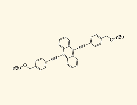 CCCCOCc1ccc(C#Cc2c3ccccc3c(C#Cc3ccc(COCCCC)cc3)c3ccccc23)cc1